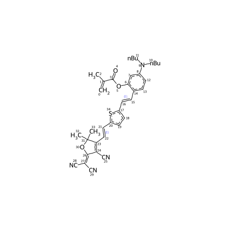 C=C(C)C(=O)Oc1cc(N(CCCC)CCCC)ccc1/C=C/c1ccc(/C=C/C2=C(C#N)C(=C(C#N)C#N)OC2(C)C)s1